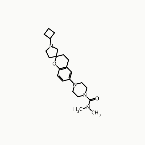 CN(C)C(=O)N1CCN(c2ccc3c(c2)CCC2(CCN(C4CCC4)C2)O3)CC1